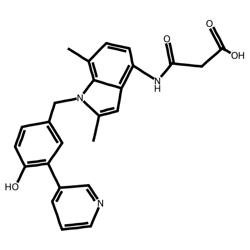 Cc1ccc(NC(=O)CC(=O)O)c2cc(C)n(Cc3ccc(O)c(-c4cccnc4)c3)c12